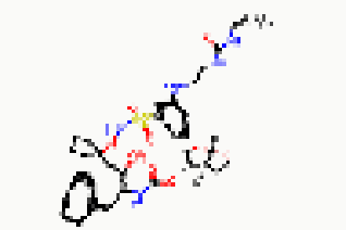 CCOC(=O)CNC(=O)NCCNc1cccc(S(=O)(=O)NOC2(C[C@@H](O)[C@H](Cc3ccccc3)NC(=O)O[C@@H]3CO[C@@H]4OCC[C@@H]43)CCCC2)c1